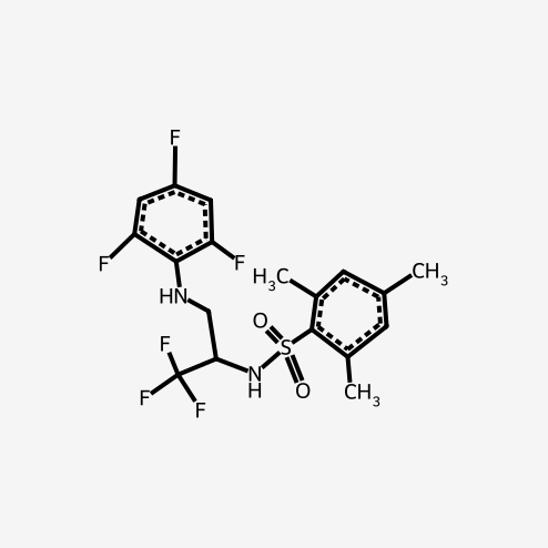 Cc1cc(C)c(S(=O)(=O)NC(CNc2c(F)cc(F)cc2F)C(F)(F)F)c(C)c1